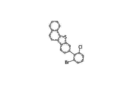 Clc1cccc(Br)c1-c1ccc2c(c1)sc1c3ccccc3ccc21